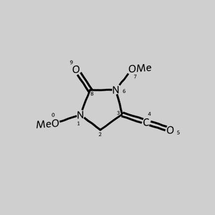 CON1CC(=C=O)N(OC)C1=O